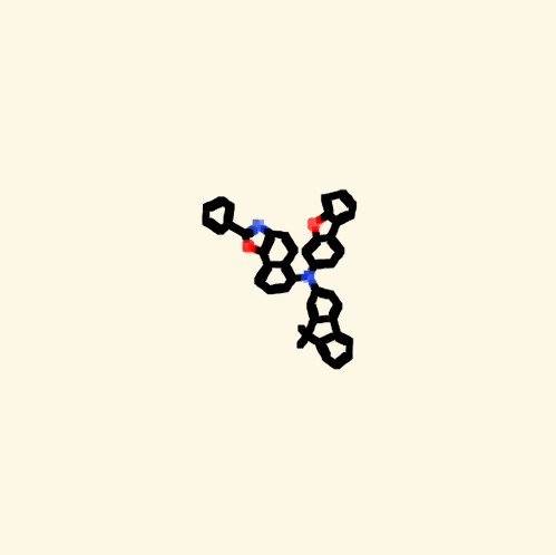 CC1(C)c2ccccc2-c2ccc(N(c3ccc4c(c3)oc3ccccc34)c3cccc4c3ccc3nc(-c5ccccc5)oc34)cc21